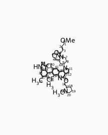 COC/C=C/C(=O)N1CC[C@H](n2ccc3c(OCC4CCCN4C)nc4c(F)c(-c5c(C)c(C)cc6[nH]ncc56)c(Cl)cc4c32)C[C@H]1CC#N